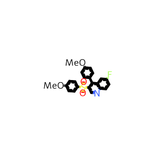 COc1ccc(-c2c(S(=O)(=O)c3ccc(OC)cc3)cnc3ccc(F)cc23)cc1